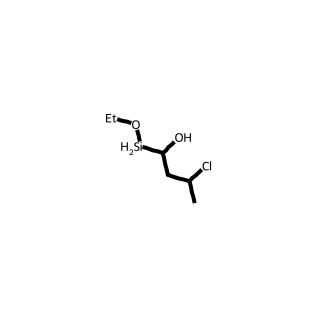 CCO[SiH2]C(O)CC(C)Cl